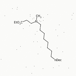 CCCCCCCCCCCCCCCCCCN(C)CCC(=O)OCC